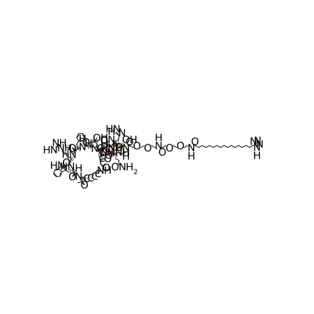 CCCC[C@H](NC(=O)[C@H](Cc1c[nH]cn1)NC(=O)[C@H](CO)NC(=O)[C@@H](CCC(N)=O)NC(=O)[C@H](CO)NC(=O)COCCOCCNC(=O)COCCOCCNC(=O)CCCCCCCCCCCCCCCc1nnn[nH]1)C(=O)N[C@H]1CCC(=O)NCCCC[C@@H](C(C)=O)NC(=O)[C@H](Cc2c[nH]c3ccccc23)NC(=O)[C@H](CCCNC(=N)N)NC(=O)[C@@H](Cc2ccccc2)NC(=O)[C@@H]2C[C@@H](O)CN2C1=O